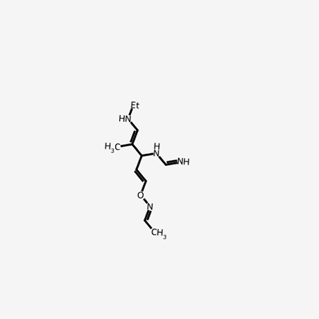 C/C=N/O/C=C/C(NC=N)/C(C)=C/NCC